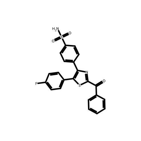 NS(=O)(=O)c1ccc(-c2nc(C(=O)c3ccccc3)sc2-c2ccc(F)cc2)cc1